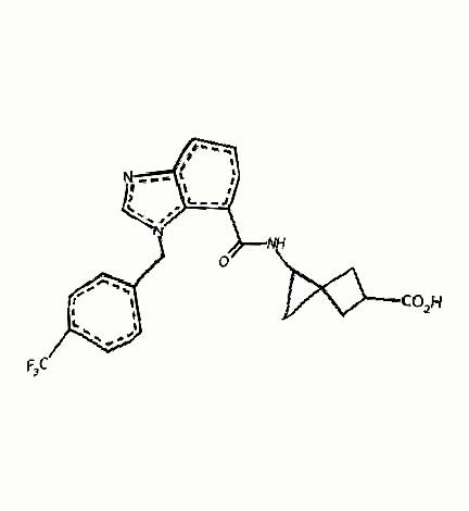 O=C(NC1CC12CC(C(=O)O)C2)c1cccc2ncn(Cc3ccc(C(F)(F)F)cc3)c12